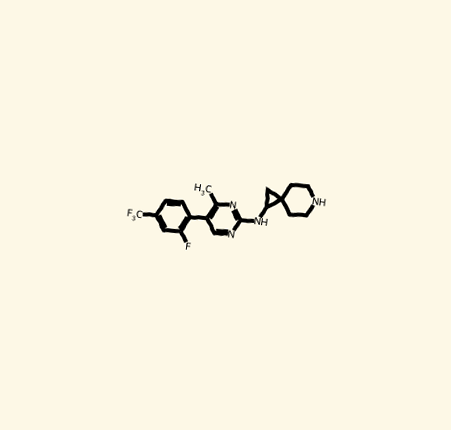 Cc1nc(NC2CC23CCNCC3)ncc1-c1ccc(C(F)(F)F)cc1F